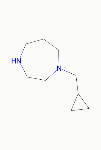 C1CNCCN(CC2CC2)C1